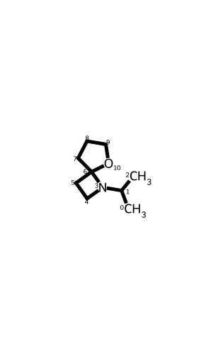 CC(C)N1CCC12CCCO2